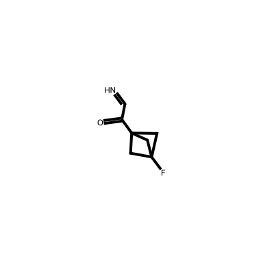 N=CC(=O)C12CC(F)(C1)C2